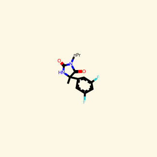 CCCN1C(=O)NC(C)(c2cc(F)cc(F)c2)C1=O